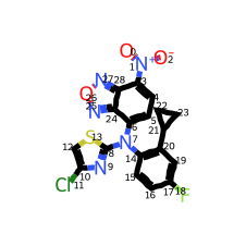 O=[N+]([O-])c1ccc(N(c2nc(Cl)cs2)c2ccc(F)cc2C2CC2)c2nonc12